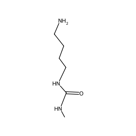 CNC(=O)NCCCCN